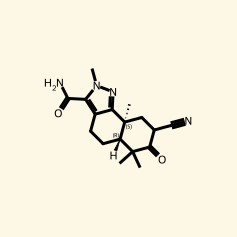 Cn1nc2c(c1C(N)=O)CC[C@H]1C(C)(C)C(=O)C(C#N)C[C@]21C